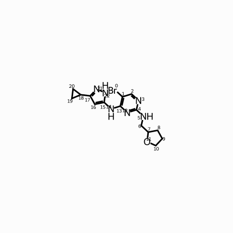 Brc1cnc(NCC2CCCO2)nc1Nc1cc(C2CC2)n[nH]1